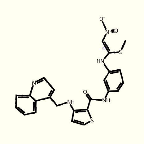 CS/C(=C\[N+](=O)[O-])Nc1cccc(NC(=O)c2sccc2NCc2ccnc3ccccc23)c1